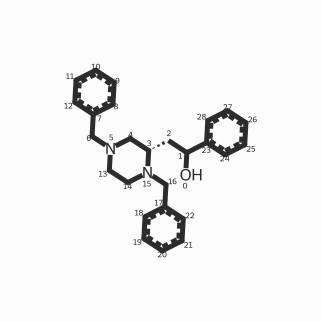 OC(C[C@H]1CN(Cc2ccccc2)CCN1Cc1ccccc1)c1ccccc1